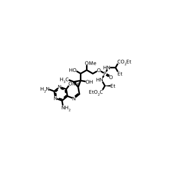 CCOC(=O)C(CC)NP(=O)(N[C@@H](CC)C(=O)OCC)OCC(OC)C(O)C1(O)C(C)C1/C=N\c1c(N)nc(N)nc1OC